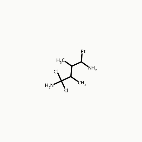 CC([CH](N)[Pt])C(C)C(N)(Cl)Cl